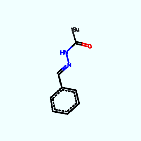 CC(C)(C)C(=O)NN=Cc1ccccc1